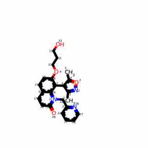 Cc1noc(C)c1-c1c(OCCCO)ccc2ccc(=O)n(Cc3ccccn3)c12